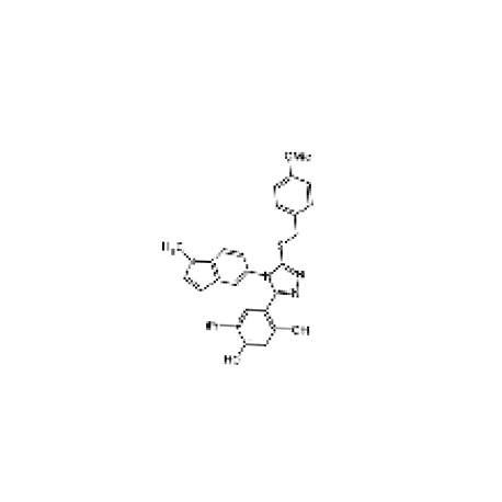 COc1ccc(CSc2nnc(-c3cc(C(C)C)c(O)cc3O)n2-c2ccc3c(ccn3C)c2)cc1